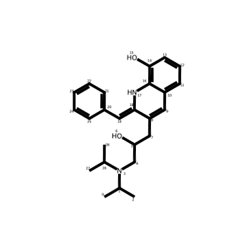 CC(C)N(CC(O)CC1=Cc2cccc(O)c2NC1=Cc1ccccc1)C(C)C